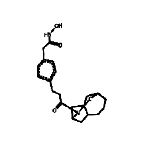 O=C(Cc1ccc(CCC(=O)N2CC3CCCC4CC2CC4C3)cc1)NO